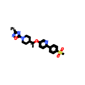 CC(C)c1noc(N2CCC([C@H](C)Oc3ccc(-c4ccc(S(C)(=O)=O)cc4)nc3)CC2)n1